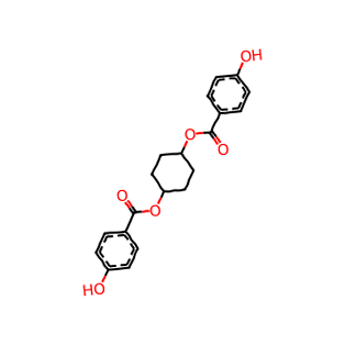 O=C(OC1CCC(OC(=O)c2ccc(O)cc2)CC1)c1ccc(O)cc1